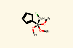 CC(C)[O][Zr]([O]C(C)C)([O]C(C)C)([GeH2][F])[C]1=CC=CC1